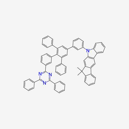 CC1(C)c2ccccc2-c2cc3c4ccccc4n(-c4cccc(-c5cc(-c6ccccc6)c(-c6cccc(-c7nc(-c8ccccc8)nc(-c8ccccc8)n7)c6)c(-c6ccccc6)c5)c4)c3cc21